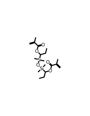 C=C(C)C(=O)OC(CC)[Si](C)(C)O[Si](C)(C)C(CC)OC(=O)C(=C)C